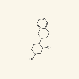 O=CN1CCC(N2CCc3ccccc3C2)C(O)C1